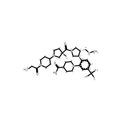 CCC(=O)N1CCC(N2CC[C@](F)(C(=O)N3C[C@H](COC)[C@@H](c4ccc(C(F)(F)F)cc4N4CCC(C(=O)O)CC4)C3)C2)CC1